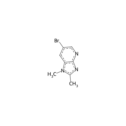 Cc1nc2ncc(Br)cc2n1C